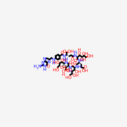 C[C@@H](NC(=O)[C@H](CC(=O)O)NC(=O)[C@@H](NC(=O)[C@H](CCC(=O)O)NC(=O)[C@@H](NC(=O)CC[C@H](NC(=O)c1ccc(NCc2cnc3nc(N)[nH]c(=O)c3n2)cc1)C(=O)O)[C@@H](O)[C@H](O)[C@H](O)CO)[C@@H](O)[C@H](O)[C@H](O)CO)[C@@H](O)[C@H](O)[C@H](O)CO